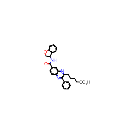 O=C(O)CCCCc1nc2cc(C(=O)NC3COc4ccccc43)ccc2nc1-c1ccccc1